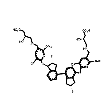 COc1nc(Oc2ccc(-c3cccc4c3C[C@@H](F)[C@@H]4Oc3nc(OC)c(CNC[C@@H](O)CC(=O)O)cc3Cl)c3c2C[C@H](F)C3)c(Cl)cc1CNC[C@@H](O)CC(=O)O